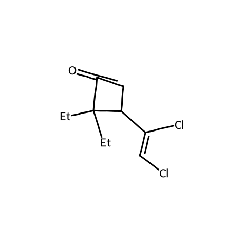 CCC1(CC)C(=O)CC1C(Cl)=CCl